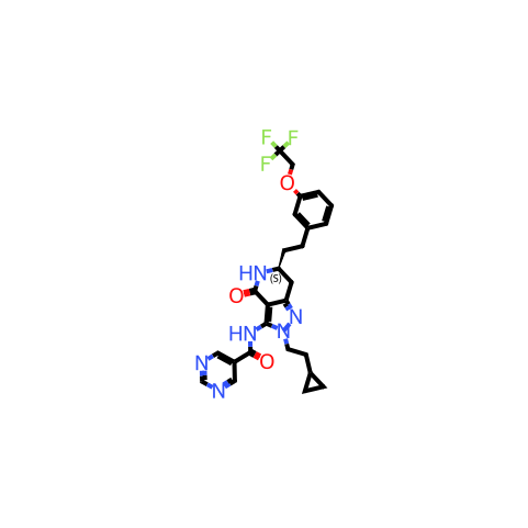 O=C(Nc1c2c(nn1CCC1CC1)C[C@H](CCc1cccc(OCC(F)(F)F)c1)NC2=O)c1cncnc1